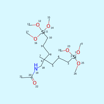 CO[Si](CCCC(C)(CCC[Si](OC)(OC)OC)CNC(C)=O)(OC)OC